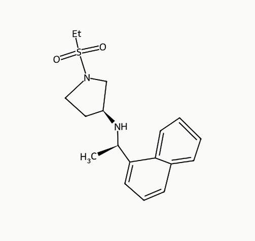 CCS(=O)(=O)N1CC[C@H](N[C@H](C)c2cccc3ccccc23)C1